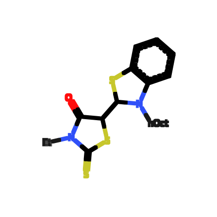 CCCCCCCCN1c2ccccc2SC1C1SC(=S)N(CC)C1=O